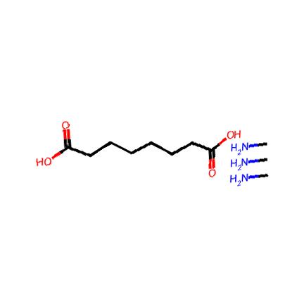 CN.CN.CN.O=C(O)CCCCCCC(=O)O